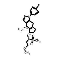 COCCN(C[C@H]1CCC2=C1[C@@H](C)c1cnn(-c3ccc(F)cc3)c1C2)S(C)(=O)=O